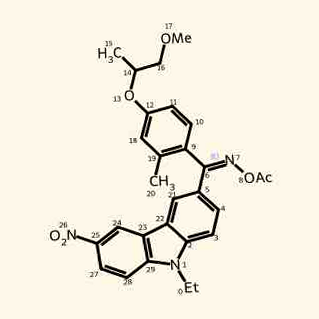 CCn1c2ccc(/C(=N\OC(C)=O)c3ccc(OC(C)COC)cc3C)cc2c2cc([N+](=O)[O-])ccc21